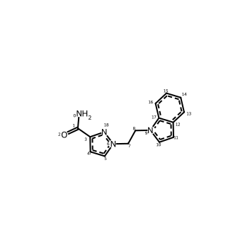 NC(=O)c1[c]cn(CCn2ccc3ccccc32)n1